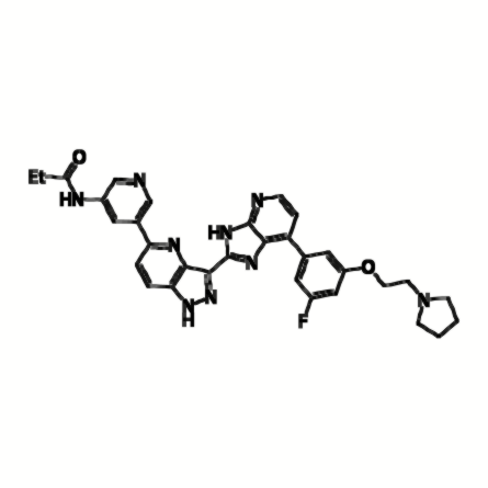 CCC(=O)Nc1cncc(-c2ccc3[nH]nc(-c4nc5c(-c6cc(F)cc(OCCN7CCCC7)c6)ccnc5[nH]4)c3n2)c1